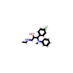 CCNCC(O)C(c1ccc(Cl)cc1)N(C)c1ccccc1